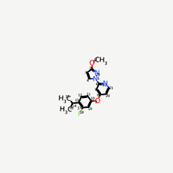 COc1ccn(-c2cc(Oc3ccc(C(C)C)c(F)c3)ccn2)n1